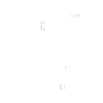 CCOC1=CC=CN[C]1CO